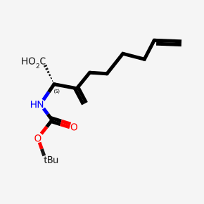 C=CCCCCC(=C)[C@H](NC(=O)OC(C)(C)C)C(=O)O